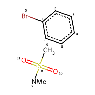 Brc1ccccc1.CNS(C)(=O)=O